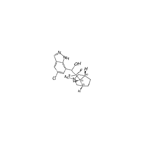 CC(=O)N1C[C@H]2CC[C@@H](C1)[C@H]2C(F)(F)C(O)c1cc(Cl)cc2cn[nH]c12